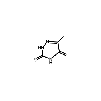 C=C1NC(=S)NN=C1C